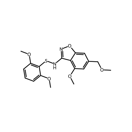 COCc1cc(OC)c2c(NSc3c(OC)cccc3OC)noc2c1